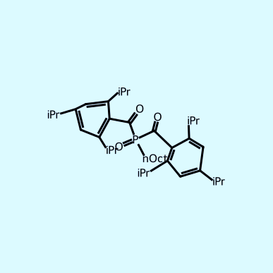 CCCCCCCCP(=O)(C(=O)c1c(C(C)C)cc(C(C)C)cc1C(C)C)C(=O)c1c(C(C)C)cc(C(C)C)cc1C(C)C